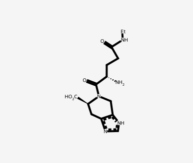 CCNC(=O)CC[C@H](N)C(=O)N1Cc2[nH]cnc2C[C@H]1C(=O)O